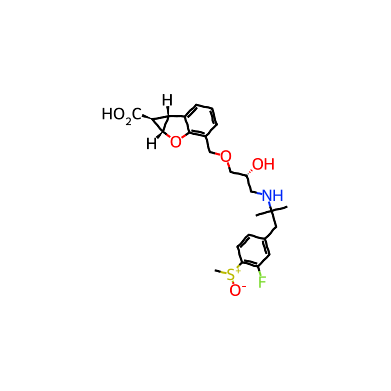 C[S+]([O-])c1ccc(CC(C)(C)NC[C@@H](O)COCc2cccc3c2O[C@@H]2[C@@H](C(=O)O)[C@H]32)cc1F